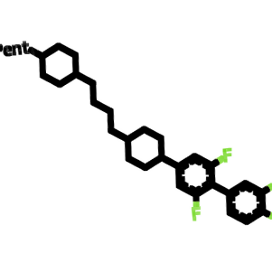 CCCCCC1CCC(CCCCC2CCC(c3cc(F)c(-c4ccc(F)c(F)c4)c(F)c3)CC2)CC1